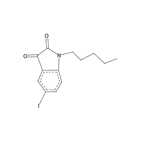 CCCCCN1C(=O)C(=O)c2cc(I)ccc21